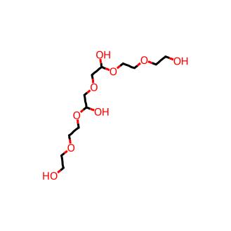 OCCOCCOC(O)COCC(O)OCCOCCO